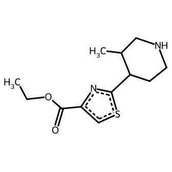 CCOC(=O)c1csc(C2CCNCC2C)n1